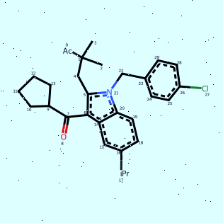 CC(=O)C(C)(C)Cc1c(C(=O)C2CCCC2)c2cc(C(C)C)ccc2n1Cc1ccc(Cl)cc1